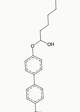 CCCCCC(O)Oc1ccc(-c2ccc(O)cc2)cc1